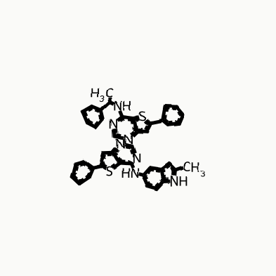 CC(Nc1ncnc2cc(-c3ccccc3)sc12)c1ccccc1.Cc1cc2cc(Nc3ncnc4cc(-c5ccccc5)sc34)ccc2[nH]1